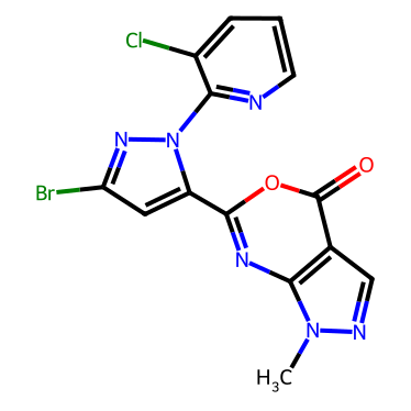 Cn1ncc2c(=O)oc(-c3cc(Br)nn3-c3ncccc3Cl)nc21